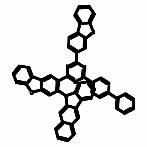 c1ccc(-c2ccc(-c3nc(-c4ccc5c(c4)sc4ccccc45)nc(-c4cc5c(cc4-n4c6ccccc6c6cc7ccccc7cc64)oc4ccccc45)n3)cc2)cc1